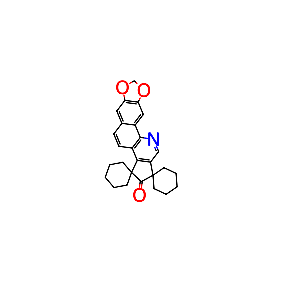 O=C1C2(CCCCC2)c2cnc3c(ccc4cc5c(cc43)OCO5)c2C12CCCCC2